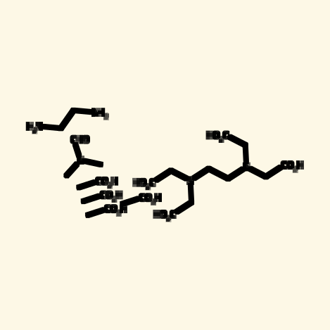 CC(=O)O.CC(=O)O.CC(=O)O.CC(=O)O.CN(C)C=O.NCCN.O=C(O)CN(CCN(CC(=O)O)CC(=O)O)CC(=O)O